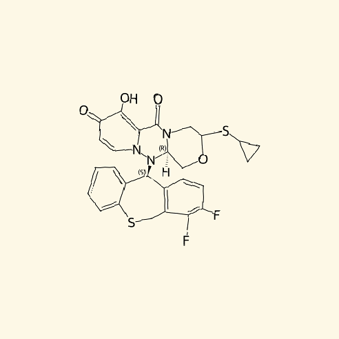 O=C1c2c(O)c(=O)ccn2N([C@@H]2c3ccccc3SCc3c2ccc(F)c3F)[C@@H]2COC(SC3CC3)CN12